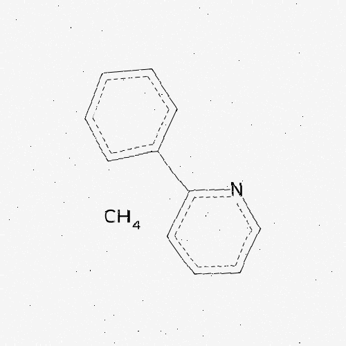 C.c1ccc(-c2ccccn2)cc1